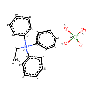 CC[N+](c1ccccc1)(c1ccccc1)c1ccccc1.[O-][Cl+3]([O-])([O-])O